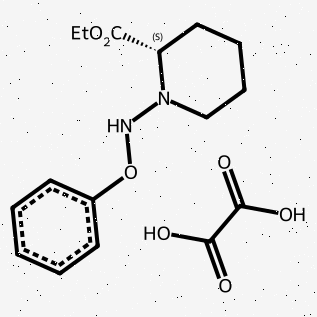 CCOC(=O)[C@@H]1CCCCN1NOc1ccccc1.O=C(O)C(=O)O